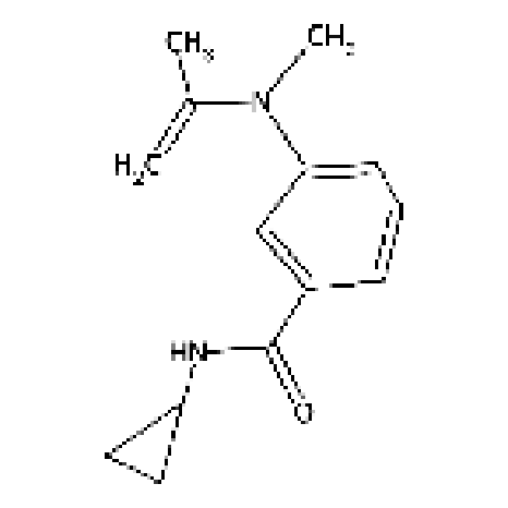 C=C(C)N(C)c1cccc(C(=O)NC2CC2)c1